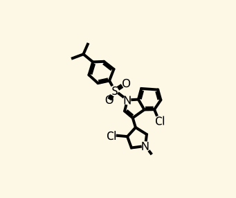 CC(C)c1ccc(S(=O)(=O)n2cc(C3CN(C)CC3Cl)c3c(Cl)cccc32)cc1